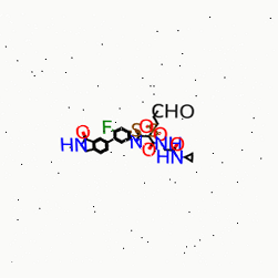 O=CCCS(=O)(=O)C(C(=O)NCC(=O)NC1CC1)c1nc2cc(-c3ccc4c(c3)C(=O)NC4)c(F)cc2s1